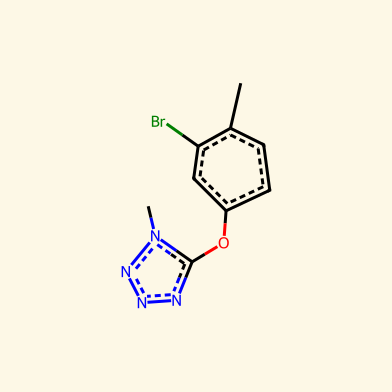 Cc1ccc(Oc2nnnn2C)cc1Br